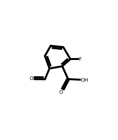 O=Cc1cccc(F)c1C(=O)O